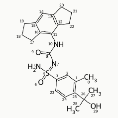 Cc1cc(S(N)(=O)=NC(=O)Nc2c3c(cc4c2CCC4)CCC3)ccc1C(C)(C)O